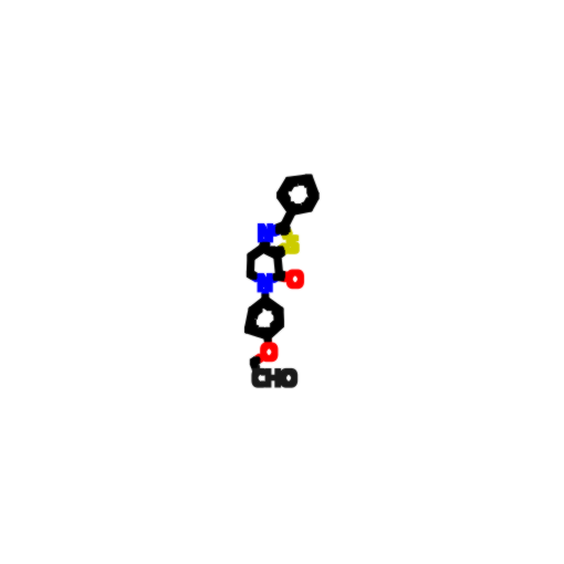 O=CCOc1ccc(N2CCc3nc(-c4ccccc4)sc3C2=O)cc1